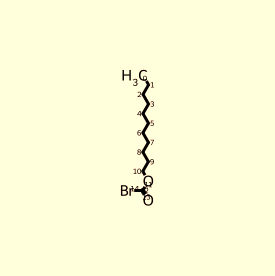 CCCCCCCCCCCOC(=O)Br